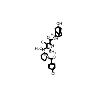 CN(c1c(Cl)c(C(=O)N[C@H]2C3CC4CC2C[C@](O)(C4)C3)nn1C)[C@H]1CCCN(C(=O)c2ccc(Cl)cc2)C1